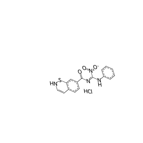 Cl.O=C(N=C(Nc1ccccc1)[N+](=O)[O-])c1ccc2c(c1)SNC=C2